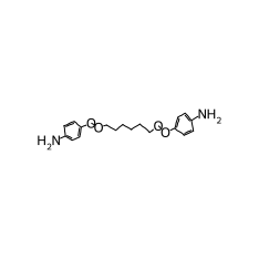 Nc1ccc(OOCCCCCCOOc2ccc(N)cc2)cc1